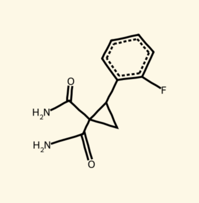 NC(=O)C1(C(N)=O)CC1c1ccccc1F